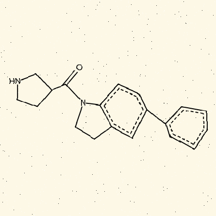 O=C(C1CCNC1)N1CCc2cc(-c3ccccc3)ccc21